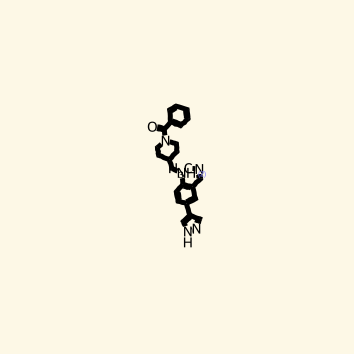 C/N=C\c1cc(-c2cn[nH]c2)ccc1NCC1CCN(C(=O)c2ccccc2)CC1